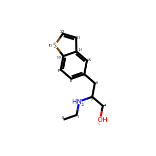 CCNC(CO)Cc1ccc2sccc2c1